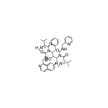 CC(C)[C@H](N)C(=O)N(C(=O)NCc1ccccn1)C(Cc1ccccc1)C(O)C(Cc1ccccc1)N(C(=O)NCc1ccccn1)C(=O)[C@@H](N)C(C)C